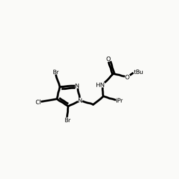 CC(C)C(Cn1nc(Br)c(Cl)c1Br)NC(=O)OC(C)(C)C